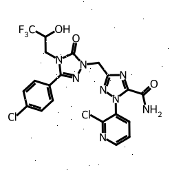 NC(=O)c1nc(Cn2nc(-c3ccc(Cl)cc3)n(CC(O)C(F)(F)F)c2=O)nn1-c1cccnc1Cl